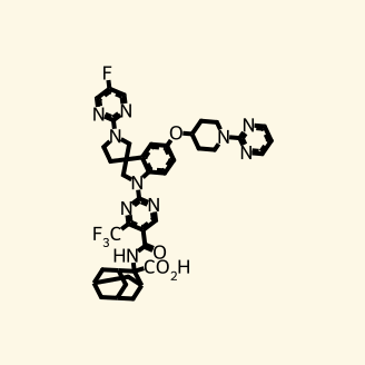 O=C(NC1(C(=O)O)C2CC3CC(C2)CC1C3)c1cnc(N2CC3(CCN(c4ncc(F)cn4)C3)c3cc(OC4CCN(c5ncccn5)CC4)ccc32)nc1C(F)(F)F